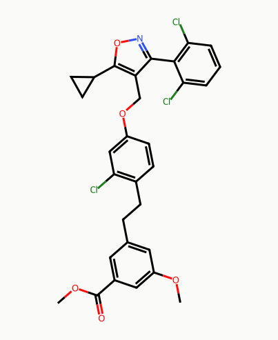 COC(=O)c1cc(CCc2ccc(OCc3c(-c4c(Cl)cccc4Cl)noc3C3CC3)cc2Cl)cc(OC)c1